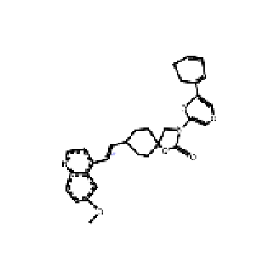 COc1ccc2nccc(/C=C/C3CCC4(CC3)CN(C3=COC=C(C5=CC=CCC5)O3)C(=O)O4)c2c1